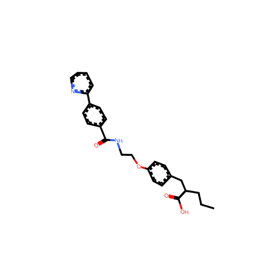 CCCC(Cc1ccc(OCCNC(=O)c2ccc(-c3ccccn3)cc2)cc1)C(=O)O